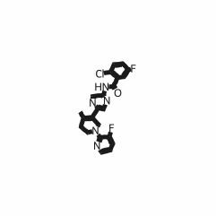 CC1=C(c2cnc(NC(=O)c3cc(F)ccc3Cl)cn2)CN(c2ncccc2F)CC1